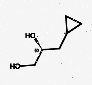 OC[C@H](O)C[C]1CC1